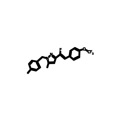 Cc1ccc(Cn2nc(C(F)=Cc3ccc(OC(F)(F)F)cc3)cc2C)cc1